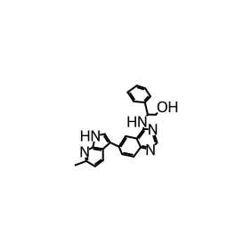 Cc1ccc2c(-c3ccc4ncnc(NC(CO)c5ccccc5)c4c3)c[nH]c2n1